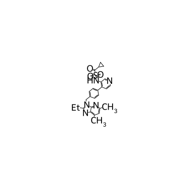 CCc1nc2c(C)cc(C)nc2n1Cc1ccc(-c2ccncc2NS(=O)(=O)C(=O)C2CC2)cc1